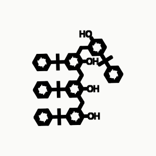 CC(C)(c1ccccc1)c1ccc(O)c(Cc2cc(C(C)(C)c3ccccc3)cc(Cc3cc(C(C)(C)c4ccccc4)cc(Cc4cc(C(C)(C)c5ccccc5)ccc4O)c3O)c2O)c1